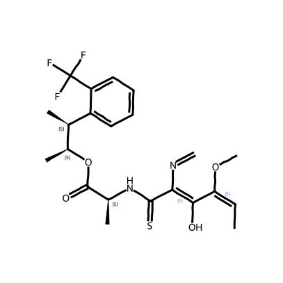 C=N/C(C(=S)N[C@@H](C)C(=O)O[C@@H](C)[C@@H](C)c1ccccc1C(F)(F)F)=C(O)\C(=C/C)OC